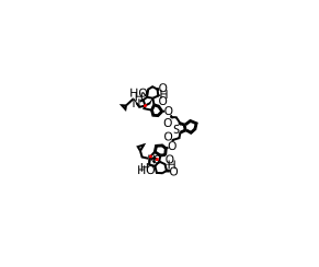 O=C(Cc1sc(CC(=O)Oc2ccc3c4c2O[C@H]2C(=O)CC[C@@]5(O)[C@@H](C3)N(CC3CC3)CC[C@]425)c2ccccc12)Oc1ccc2c3c1O[C@H]1C(=O)CC[C@@]4(O)[C@@H]5N(CC6CC6)CC5(C2)C[C@]314